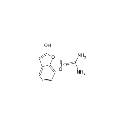 C=O.NC(N)=O.Oc1cc2ccccc2o1